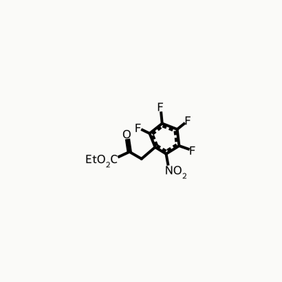 CCOC(=O)C(=O)Cc1c(F)c(F)c(F)c(F)c1[N+](=O)[O-]